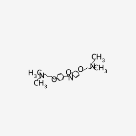 CCCN(C)CCCOc1ccc(-c2nc3ccc(OCCCN(C)CCC)cc3o2)cc1